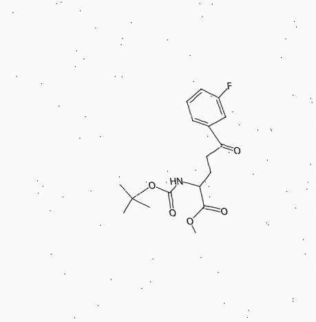 COC(=O)C(CCC(=O)c1cccc(F)c1)NC(=O)OC(C)(C)C